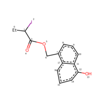 CCC(I)C(=O)OCc1cccc2c(O)cccc12